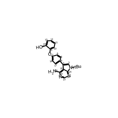 CC(C)(C)n1cc(-c2ccc(Oc3ccccc3O)cc2)c2c(N)ncnc21